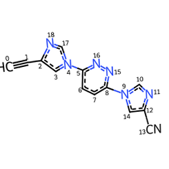 C#Cc1cn(-c2ccc(-n3cnc(C#N)c3)nn2)cn1